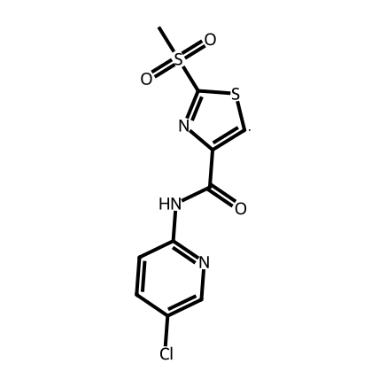 CS(=O)(=O)c1nc(C(=O)Nc2ccc(Cl)cn2)[c]s1